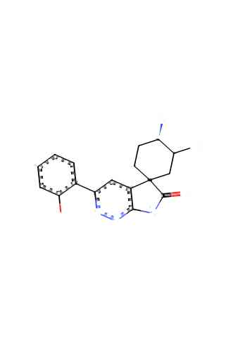 CC1CC2(CC[C@H]1N)C(=O)Nc1nnc(-c3ccccc3O)cc12